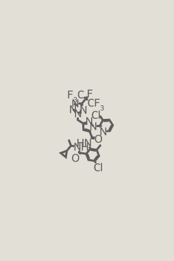 Cc1cc(Cl)cc(C(=O)NC(C)C2CC2)c1NC(=O)c1cc(Cn2nnc(C(F)(C(F)(F)F)C(F)(F)F)n2)nn1-c1ncccc1Cl